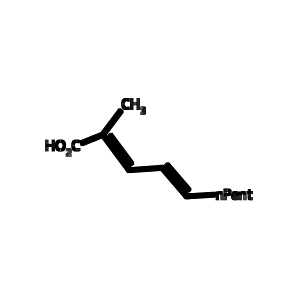 CCCCCC=CC=C(C)C(=O)O